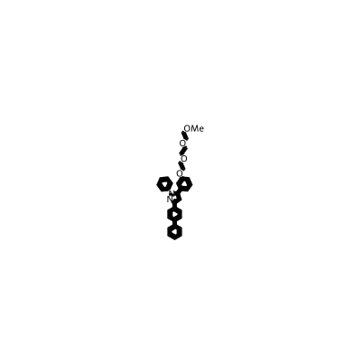 COCCOCCOCCOc1cccc(C2CC(c3ccc(-c4ccccc4)cc3)=NN2c2ccccc2)c1